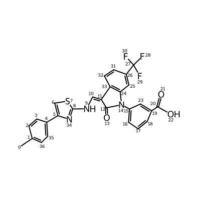 Cc1ccc(-c2csc(NC=C3C(=O)N(c4cccc(C(=O)O)c4)c4cc(C(F)(F)F)ccc43)n2)cc1